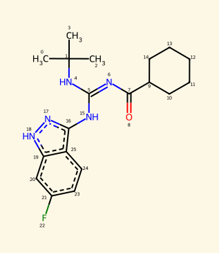 CC(C)(C)N/C(=N/C(=O)C1CCCCC1)Nc1n[nH]c2cc(F)ccc12